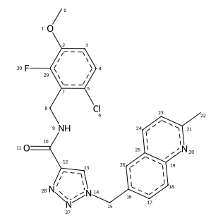 COc1ccc(Cl)c(CNC(=O)c2cn(Cc3ccc4nc(C)ccc4c3)nn2)c1F